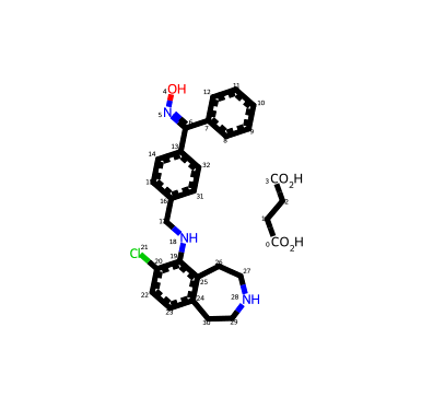 O=C(O)CCC(=O)O.ON=C(c1ccccc1)c1ccc(CNc2c(Cl)ccc3c2CCNCC3)cc1